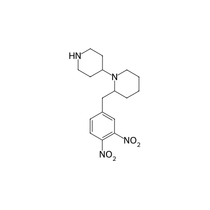 O=[N+]([O-])c1ccc(CC2CCCCN2C2CCNCC2)cc1[N+](=O)[O-]